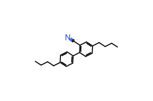 CCCCc1ccc(-c2ccc(CCCC)cc2C#N)cc1